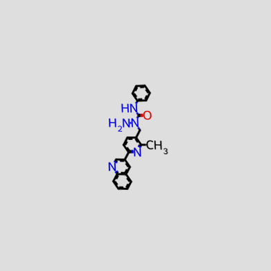 Cc1nc(-c2cnc3ccccc3c2)ccc1CN(N)C(=O)Nc1ccccc1